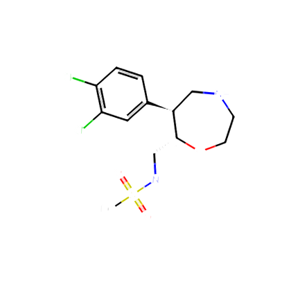 CS(=O)(=O)NC[C@H]1OCCNC[C@@H]1c1ccc(Cl)c(Cl)c1